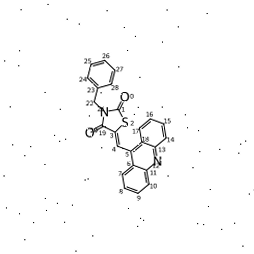 O=C1SC(=Cc2c3ccccc3nc3ccccc23)C(=O)N1Cc1ccccc1